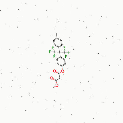 COC(=O)CC(=O)Oc1ccc(C(c2ccc(C)cc2)(C(F)(F)F)C(F)(F)F)cc1